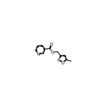 Cc1cc(COC(=O)c2cccnc2)no1